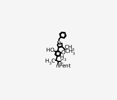 CCCCCC(C)C(C)c1cc(O)c2c(c1)OC(C)(C)C1=C2CN(Cc2ccccc2)C1